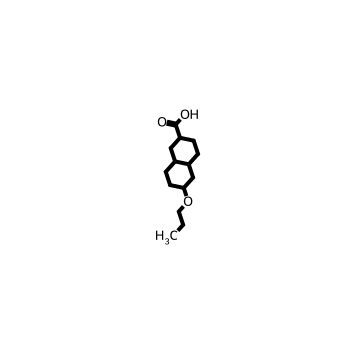 CCCOC1CCC2CC(C(=O)O)CCC2C1